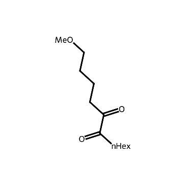 CCCCCCC(=O)C(=O)CCCCOC